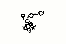 CC(C)C1=CC2CC3(C=O)[C@@H]4CC[C@@H](C)[C@H]4CC2([C@H]2C[C@H](CC4CCCC4)[C@H](CN4CCC(CCN5CCN(C)CC5)CC4)O2)[C@]13C(=O)O